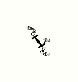 CC(C)(C)CC(C)(C#CC(C)(C)OOC(C)(C)C)OOC(C)(C)C